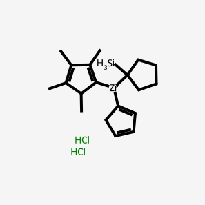 CC1=C(C)C(C)[C]([Zr]([C]2=CC=CC2)[C]2([SiH3])CCCC2)=C1C.Cl.Cl